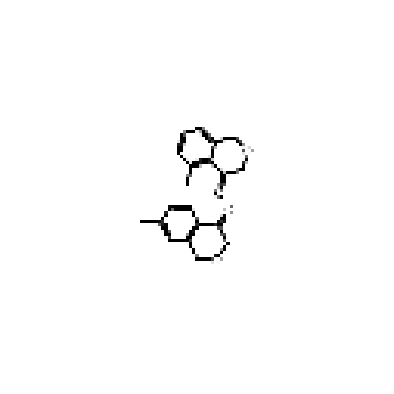 Cc1ccc2c(c1)COCC2=O.Cc1cccc2c1C(=O)COC2